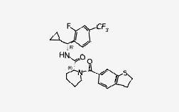 O=C(N[C@@H](c1ccc(C(F)(F)F)cc1F)C1CC1)[C@H]1CCCCN1C(=O)c1ccc2c(c1)SCC2